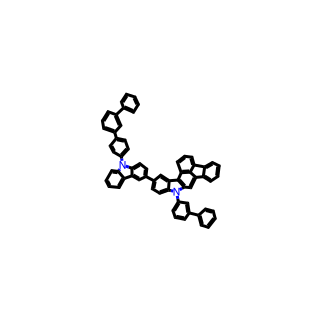 c1ccc(-c2cccc(-c3ccc(-n4c5ccccc5c5cc(-c6ccc7c(c6)c6c8cccc9c8c(cc6n7-c6cccc(-c7ccccc7)c6)-c6ccccc6-9)ccc54)cc3)c2)cc1